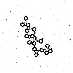 Cc1cccc(-n2c3cc(-c4ccc5c6ccccc6n(-c6ccc7c(c6)c6ccccc6n7-c6ccccc6-c6ccccc6C)c5c4)ccc3n3c4c(cc23)c(Cc2cccc(-n3c5ccccc5c5c6c7ccccc7n(-c7ccccc7)c6ccc53)c2)cc2c3ccccc3n(-c3ccccc3)c24)c1